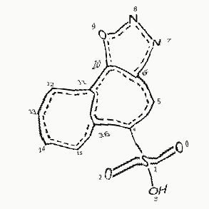 O=S(=O)(O)c1cc2nnoc2c2ccccc12